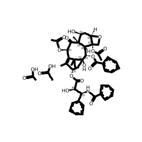 CC(=O)O.CC(=O)O.CC(=O)O[C@H]1C(=O)[C@@]2(C)[C@H]([C@H](OC(=O)c3ccccc3)[C@]3(O)C[C@H](OC(=O)[C@H](O)[C@@H](NC(=O)c4ccccc4)c4ccccc4)C(C)=C1C3(C)C)[C@]1(OC(C)=O)CO[C@@H]1C[C@@H]2O